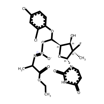 CCOC(=O)C(C)/N=[P+](\[O-])OC(Oc1ccc(Cl)cc1Cl)[C@@H]1O[C@@H](n2ccc(=O)[nH]c2=O)[C@](C)(F)[C@@H]1O